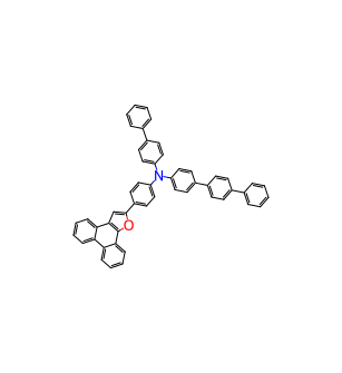 c1ccc(-c2ccc(-c3ccc(N(c4ccc(-c5ccccc5)cc4)c4ccc(-c5cc6c7ccccc7c7ccccc7c6o5)cc4)cc3)cc2)cc1